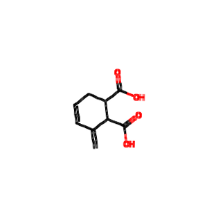 C=C1C=CCC(C(=O)O)C1C(=O)O